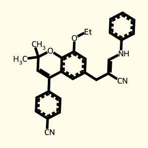 CCOc1cc(CC(C#N)=CNc2ccccc2)cc2c1OC(C)(C)C=C2c1ccc(C#N)cc1